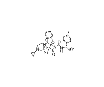 CCCC(NC(=O)N1C(=O)C(CC)(CC)C1(Oc1ccccc1)C(=O)N1CCN(C2CC2)CC1)c1ccc(C)cc1